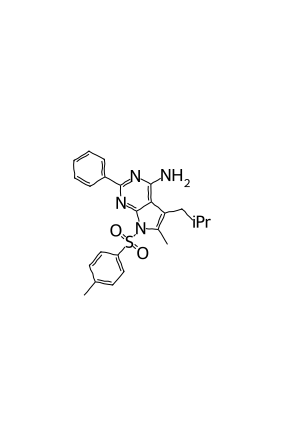 Cc1ccc(S(=O)(=O)n2c(C)c(CC(C)C)c3c(N)nc(-c4ccccc4)nc32)cc1